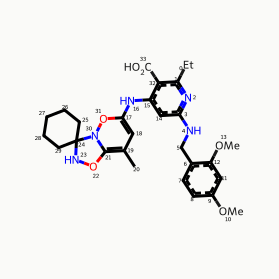 CCc1nc(NCc2ccc(OC)cc2OC)cc(NC2=CC(C)=C3ONC4(CCCCC4)N3O2)c1C(=O)O